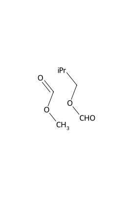 CC(C)COC=O.COC=O